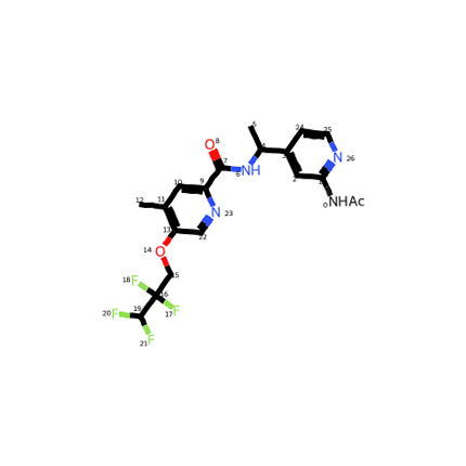 CC(=O)Nc1cc(C(C)NC(=O)c2cc(C)c(OCC(F)(F)C(F)F)cn2)ccn1